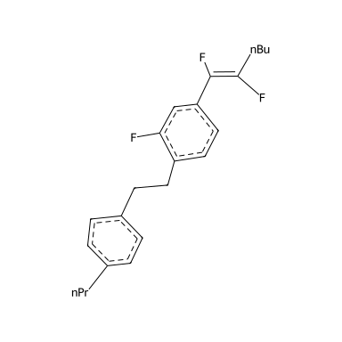 CCCCC(F)=C(F)c1ccc(CCc2ccc(CCC)cc2)c(F)c1